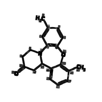 Cc1ccc2c(c1)N1CCC(=O)CC1c1cccc(C)c1O2